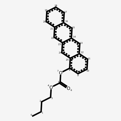 CCCCOC(=O)Oc1cccc2cc3cc4ccccc4cc3cc12